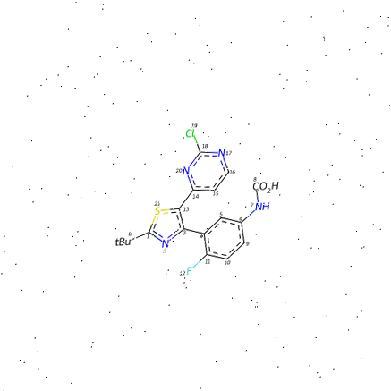 CC(C)(C)c1nc(-c2cc(NC(=O)O)ccc2F)c(-c2ccnc(Cl)n2)s1